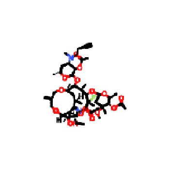 C#CCCN(C)[C@H]1C[C@@H](C)OC(O[C@@H]2[C@@H](C)[C@H](OC3C[C@@](C)(OC)[C@@H](OC(C)=O)[C@H](C)O3)[C@](C)(F)C(=O)O[C@H](CC)[C@@](C)(O)[C@@H]3OCC(=C)CO[C@]2(C)C[C@@H](C)/C(=N\OC(C)=O)[C@@H]3C)C1OC(C)=O